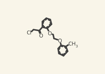 Cc1ccccc1OCCOc1ccccc1C(=O)CCl